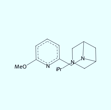 COc1cccc(CN2C3CC2CN(C(C)C)C3)n1